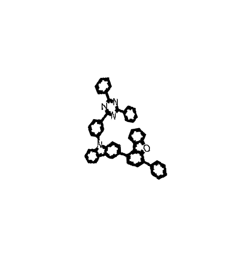 c1ccc(-c2nc(-c3ccccc3)nc(-c3cccc(-n4c5ccccc5c5cc(-c6ccc(-c7ccccc7)c7oc8ccccc8c67)ccc54)c3)n2)cc1